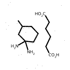 CC1CCCC(N)(N)C1.O=C(O)CCCCC(=O)O